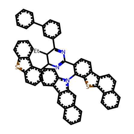 CCC1C(c2cccc(-c3ccccc3)c2)=NC(c2ccc3c(sc4c5ccccc5ccc34)c2-n2c3ccccc3c3cc4ccccc4cc32)=NC1c1cccc2sc3ccccc3c12